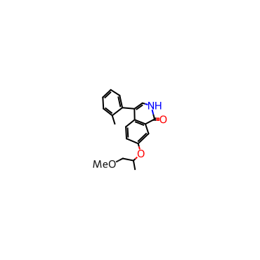 COCC(C)Oc1ccc2c(-c3ccccc3C)c[nH]c(=O)c2c1